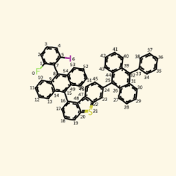 Fc1cccc(I)c1-c1c2ccccc2c(-c2cccc3sc4cc(-c5c6ccccc6c(-c6ccccc6)c6ccccc56)ccc4c23)c2ccccc12